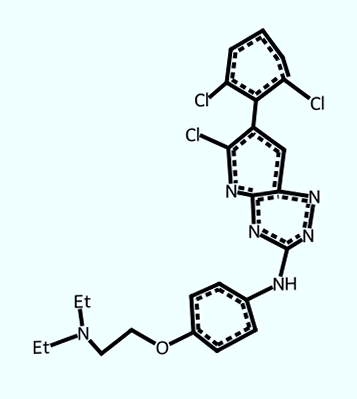 CCN(CC)CCOc1ccc(Nc2nnc3cc(-c4c(Cl)cccc4Cl)c(Cl)nc3n2)cc1